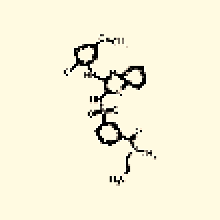 CCCN(C)C(=O)c1cccc(S(=O)(=O)Nc2nc3ccccc3nc2Nc2cc(OC)ccc2Cl)c1